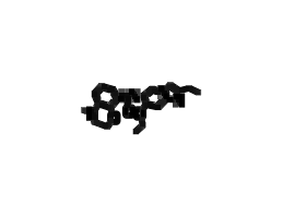 CCOc1cc2nc(CC)cn2cc1NC(=O)c1cccc2c1OCCN2C